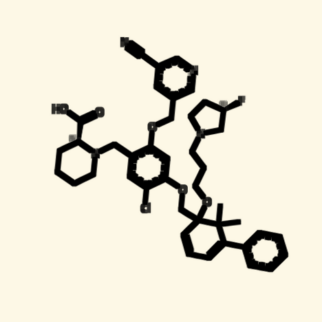 CC1(C)C(c2ccccc2)=CC=CC1(COc1cc(OCc2cncc(C#N)c2)c(CN2CCCC[C@H]2C(=O)O)cc1Cl)OCCCN1CC[C@@H](F)C1